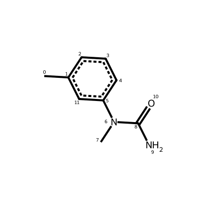 Cc1cccc(N(C)C(N)=O)c1